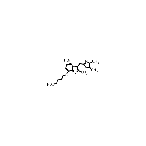 Br.CCCCCOc1cccn2c(Cc3nc(C)c(C)s3)c(C)nc12